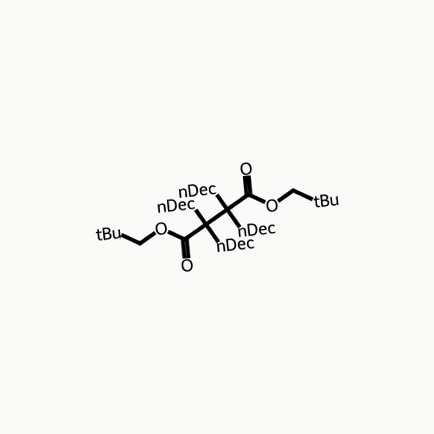 CCCCCCCCCCC(CCCCCCCCCC)(C(=O)OCC(C)(C)C)C(CCCCCCCCCC)(CCCCCCCCCC)C(=O)OCC(C)(C)C